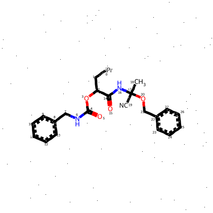 CC(C)CC(OC(=O)NCc1ccccc1)C(=O)NC(C)(C#N)OCc1ccccc1